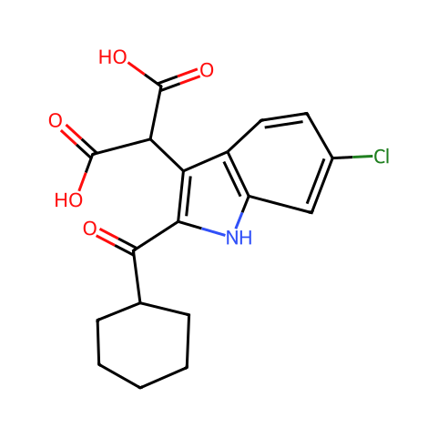 O=C(c1[nH]c2cc(Cl)ccc2c1C(C(=O)O)C(=O)O)C1CCCCC1